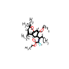 CCOC(=O)/C(F)=C(/CC)c1cc2c(cc1OC)OC(C)(C)C=C2C